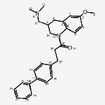 COc1ccc2c(c1)CC(CN(C)C)CN2C(=O)CCc1ccc(-c2ccccc2)cc1